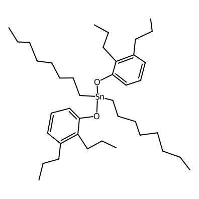 CCCCCCC[CH2][Sn]([CH2]CCCCCCC)([O]c1cccc(CCC)c1CCC)[O]c1cccc(CCC)c1CCC